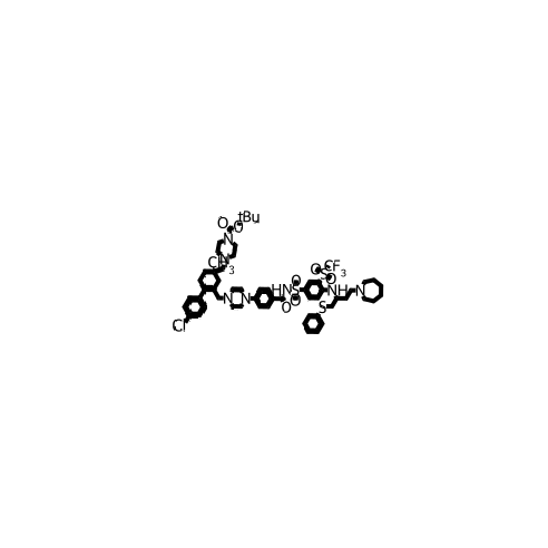 CC(C)(C)OC(=O)N1CCN(C[C@]2(C)CCC(c3ccc(Cl)cc3)=C(CN3CCN(c4ccc(C(=O)NS(=O)(=O)c5ccc(NC(CCN6CCCCCC6)CSc6ccccc6)c(S(=O)(=O)C(F)(F)F)c5)cc4)CC3)C2)CC1